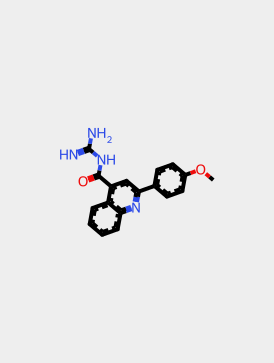 COc1ccc(-c2cc(C(=O)NC(=N)N)c3ccccc3n2)cc1